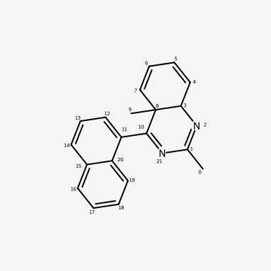 CC1=NC2C=CC=CC2(C)C(c2cccc3ccccc23)=N1